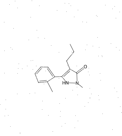 CCCc1c(-c2ccccc2C)[nH]n(C)c1=O